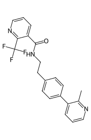 Cc1ncccc1-c1ccc(CCNC(=O)c2cccnc2C(F)(F)F)cc1